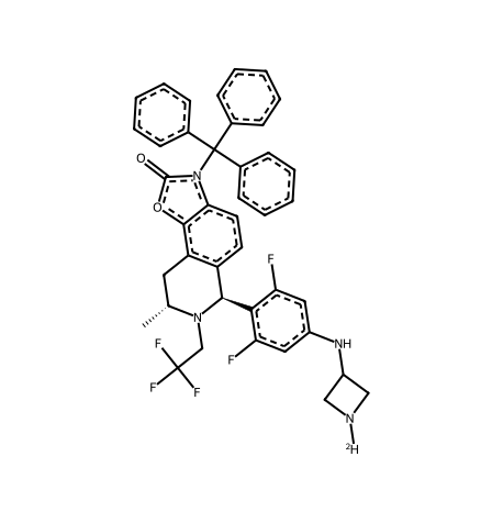 [2H]N1CC(Nc2cc(F)c([C@@H]3c4ccc5c(oc(=O)n5C(c5ccccc5)(c5ccccc5)c5ccccc5)c4C[C@@H](C)N3CC(F)(F)F)c(F)c2)C1